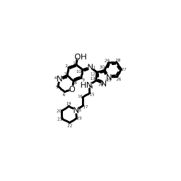 OC1=CC2=NCCOC2=C/C1=N\c1c(NCCCN2CCCCC2)nn2ccccc12